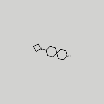 C1CN(C2CCC3(CCNCC3)CC2)C1